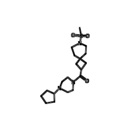 CS(=O)(=O)N1CCC2(CC1)CC(C(=O)N1CCN(C3CCCC3)CC1)C2